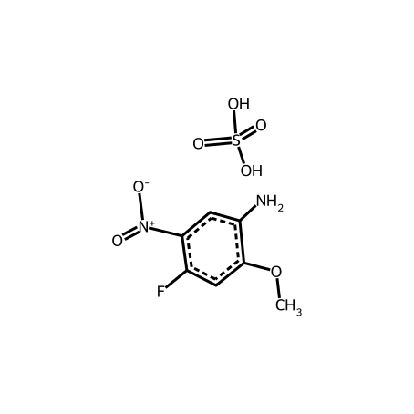 COc1cc(F)c([N+](=O)[O-])cc1N.O=S(=O)(O)O